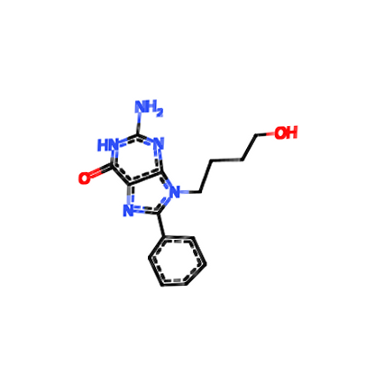 Nc1nc2c(nc(-c3ccccc3)n2CCCCO)c(=O)[nH]1